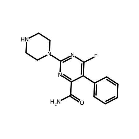 NC(=O)c1nc(N2CCNCC2)nc(F)c1-c1ccccc1